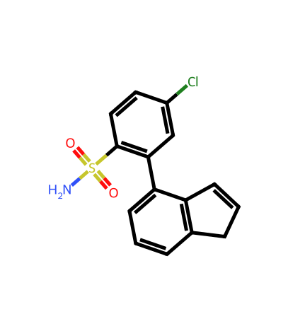 NS(=O)(=O)c1ccc(Cl)cc1-c1cccc2c1C=CC2